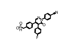 N#Cc1ccc(-n2ncc(-c3ccc(C[SH](=O)=O)cc3)c(-c3ccc(F)cc3)c2=O)cc1